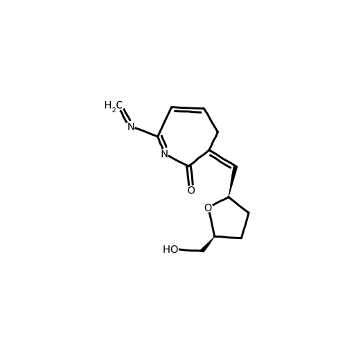 C=NC1=NC(=O)/C(=C\[C@H]2CC[C@@H](CO)O2)CC=C1